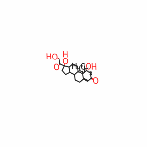 CC1(O)CC(=O)C=C2CCC3C4CCC(O)(C(=O)CO)C4CCC3C21C